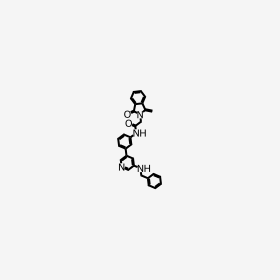 C=C1c2ccccc2C(=O)N1CC(=O)Nc1cccc(-c2cncc(NCc3ccccc3)c2)c1